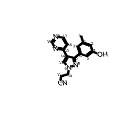 Cc1cc(O)cc(-c2nn(CCC#N)cc2-c2ccncn2)c1